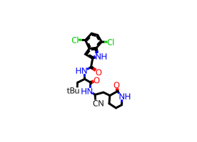 CC(C)(C)CC(NC(=O)c1cc2c(Cl)ccc(Cl)c2[nH]1)C(=O)NC(C#N)CC1CCCNC1=O